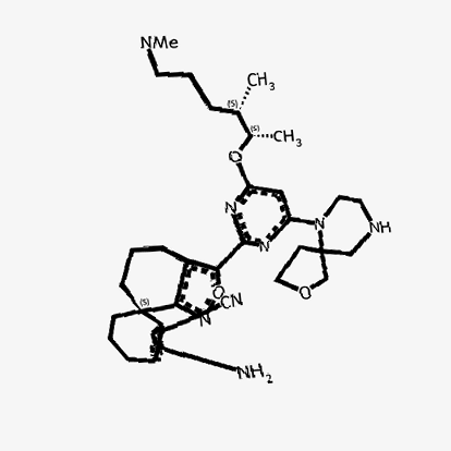 CNCCC[C@H](C)[C@H](C)Oc1cc(N2CCNCC23CCOC3)nc(-c2onc3c2CCC[C@@]32CCCc3sc(N)c(C#N)c32)n1